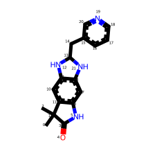 CC1(C)C(=O)Nc2cc3c(cc21)NC(Cc1cccnc1)N3